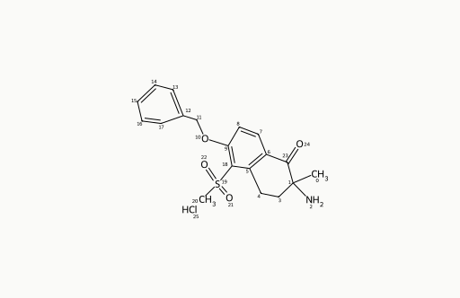 CC1(N)CCc2c(ccc(OCc3ccccc3)c2S(C)(=O)=O)C1=O.Cl